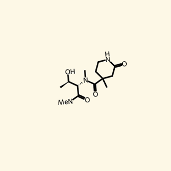 CNC(=O)[C@H]([C@@H](C)O)N(C)C(=O)C1(C)CCNC(=O)C1